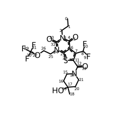 CCCn1c(=O)c2c(C(F)F)c(C(=O)N3CCC(C)(O)CC3)sc2n(CCOC(F)(F)F)c1=O